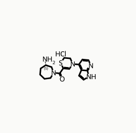 Cl.N[C@H]1CCCCN(C(=O)C2=CN(c3ccnc4[nH]ccc34)CCS2)C1